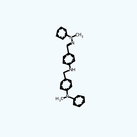 CN(N=Cc1ccc(NCc2ccc(N(C)c3ccccc3)cc2)cc1)c1ccccc1